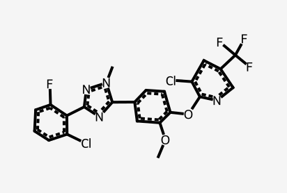 COc1cc(-c2nc(-c3c(F)cccc3Cl)nn2C)ccc1Oc1ncc(C(F)(F)F)cc1Cl